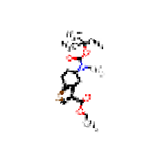 CCOC(=O)c1csc2c1CC(N(C)C(=O)OC(C)(C)C)CC2